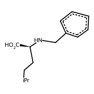 CC(C)CC[C@H](NCc1ccccc1)C(=O)O